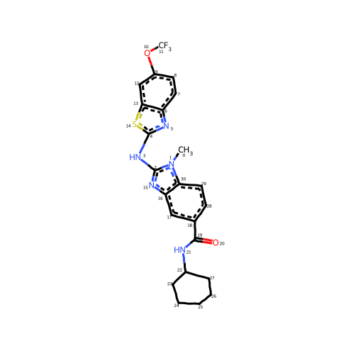 Cn1c(Nc2nc3ccc(OC(F)(F)F)cc3s2)nc2cc(C(=O)NC3CCCCC3)ccc21